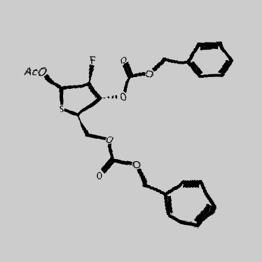 CC(=O)OC1S[C@H](COC(=O)OCc2ccccc2)[C@@H](OC(=O)OCc2ccccc2)[C@@H]1F